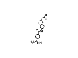 N=C(N)c1ccc(C(=O)Nc2ccc3c(c2)CCC(CC(=O)O)O3)cc1